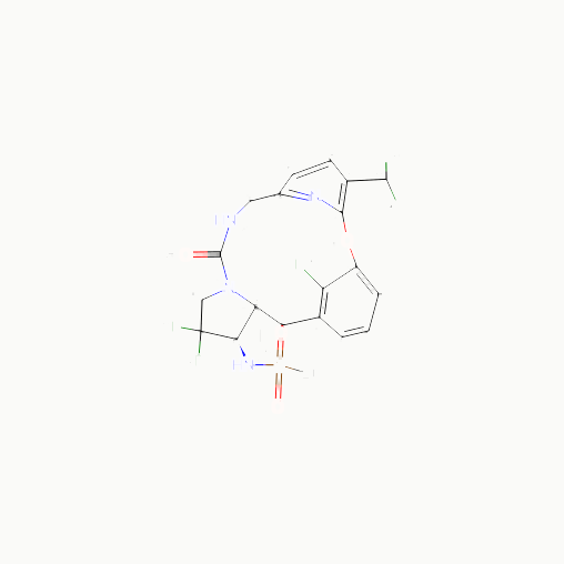 CCS(=O)(=O)N[C@@H]1[C@@H]2Cc3cccc(c3F)Oc3nc(ccc3C(F)F)CNC(=O)N2CC1(F)F